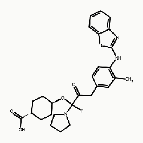 Cc1cc(CC(=O)C(F)(O[C@H]2CC[C@H](C(=O)O)CC2)N2CCCC2)ccc1Nc1nc2ccccc2o1